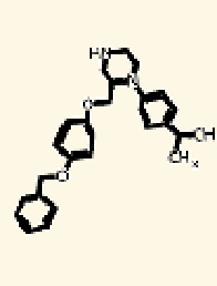 CC(C)c1ccc(N2CCNCC2COc2ccc(OCc3ccccc3)cc2)cc1